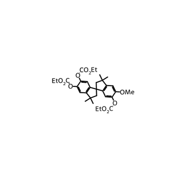 CCOC(=O)Oc1cc2c(cc1OC)C(C)(C)CC21CC(C)(C)c2cc(OC(=O)OCC)c(OC(=O)OCC)cc21